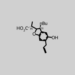 C=CCc1cc2c(cc1O)[C@H](CCCC)C([C@@H](C)C(=O)O)O2